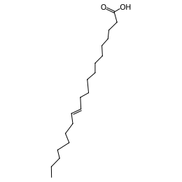 CCCCCCC/C=C/CCCCCCCCCCC(=O)O